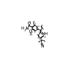 C=C/C(=C1/C=CC(C(C)(C)C#N)=CN1)c1cc(F)c(C(N)=O)c(OC)c1